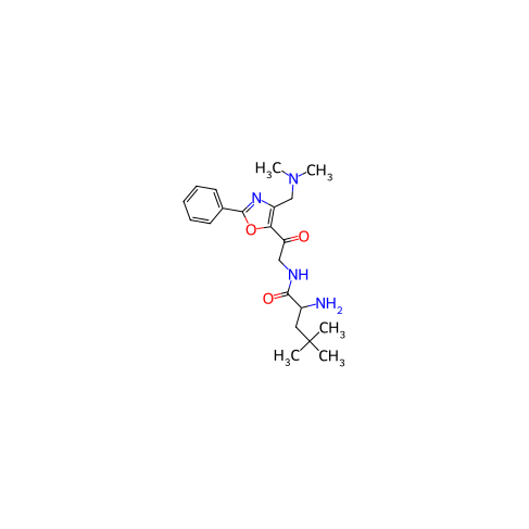 CN(C)Cc1nc(-c2ccccc2)oc1C(=O)CNC(=O)C(N)CC(C)(C)C